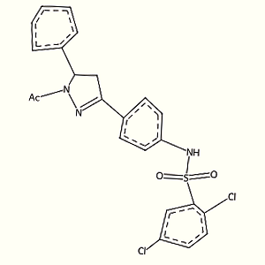 CC(=O)N1N=C(c2ccc(NS(=O)(=O)c3cc(Cl)ccc3Cl)cc2)CC1c1ccccc1